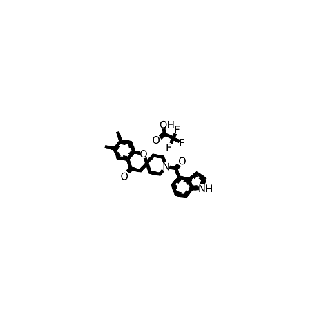 Cc1cc2c(cc1C)C(=O)CC1(CCN(C(=O)c3cccc4[nH]ccc34)CC1)O2.O=C(O)C(F)(F)F